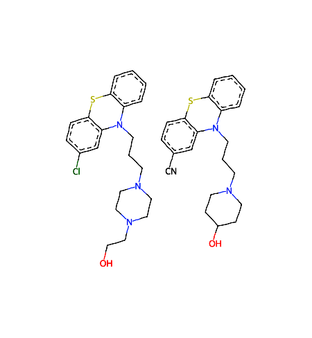 N#Cc1ccc2c(c1)N(CCCN1CCC(O)CC1)c1ccccc1S2.OCCN1CCN(CCCN2c3ccccc3Sc3ccc(Cl)cc32)CC1